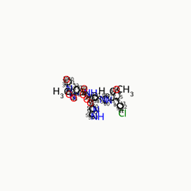 COC1(C)CCC(c2ccc(Cl)cc2)=C(CN2CCN(c3ccc(C(=O)NS(=O)(=O)c4ccc(N(C)C5CCOCC5)c([N+](=O)[O-])c4)c(Oc4cnc5[nH]ccc5c4)c3)CC2)C1